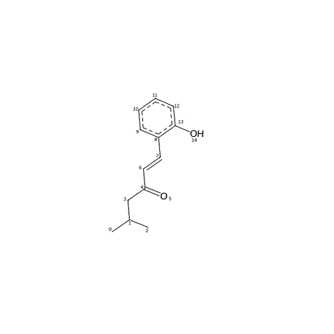 CC(C)CC(=O)C=Cc1ccccc1O